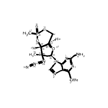 COc1nc(N)nc2c1ncn2[C@@H]1O[C@@H]2COP(C)(=O)O[C@H]2[C@@]1(C)N=[N+]=[N-]